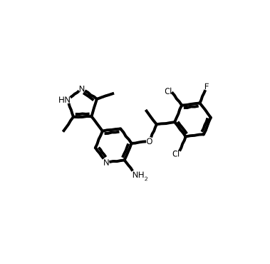 Cc1n[nH]c(C)c1-c1cnc(N)c(OC(C)c2c(Cl)ccc(F)c2Cl)c1